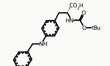 CC(C)(C)OC(=O)N[C@H](Cc1ccc(NCc2ccccc2)cc1)C(=O)O